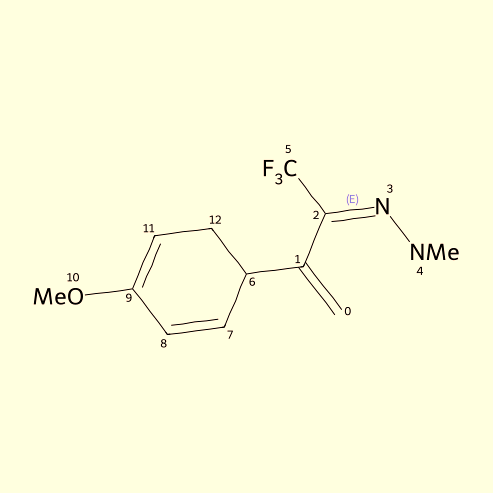 C=C(/C(=N\NC)C(F)(F)F)C1C=CC(OC)=CC1